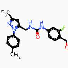 Cc1ccc(-n2nc(C(F)(F)F)cc2CNC(=O)Nc2ccc(CO)c(F)c2)cc1